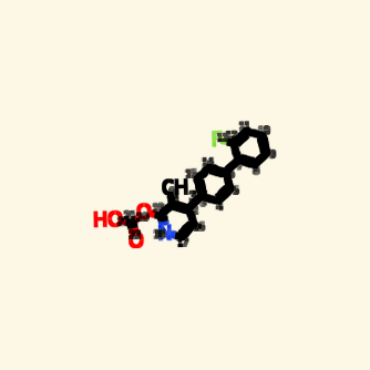 Cc1c(-c2ccc(-c3ccccc3F)cc2)ccnc1OC(=O)O